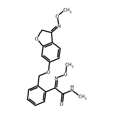 CNC(=O)C(=NOC)c1ccccc1COc1ccc2c(c1)OCC2=NOC